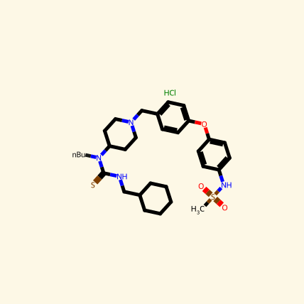 CCCCN(C(=S)NCC1CCCCC1)C1CCN(Cc2ccc(Oc3ccc(NS(C)(=O)=O)cc3)cc2)CC1.Cl